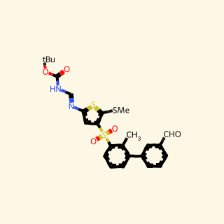 CSc1sc(/N=C/NC(=O)OC(C)(C)C)cc1S(=O)(=O)c1cccc(-c2cccc(C=O)c2)c1C